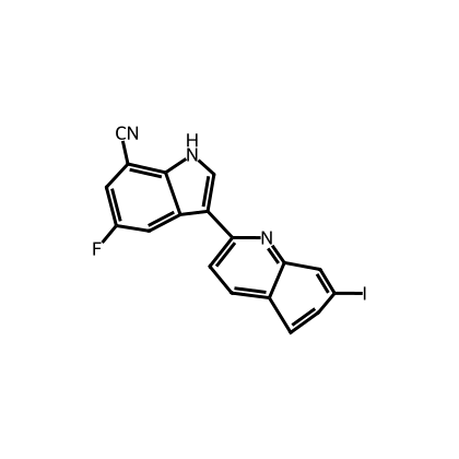 N#Cc1cc(F)cc2c(-c3ccc4ccc(I)cc4n3)c[nH]c12